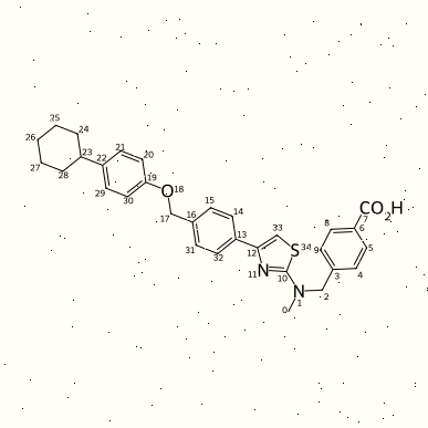 CN(Cc1ccc(C(=O)O)cc1)c1nc(-c2ccc(COc3ccc(C4CCCCC4)cc3)cc2)cs1